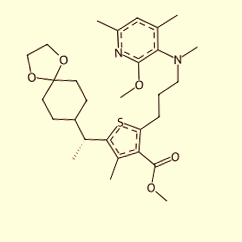 COC(=O)c1c(CCCN(C)c2c(C)cc(C)nc2OC)sc([C@H](C)C2CCC3(CC2)OCCO3)c1C